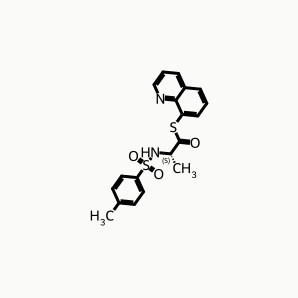 Cc1ccc(S(=O)(=O)N[C@@H](C)C(=O)Sc2cccc3cccnc23)cc1